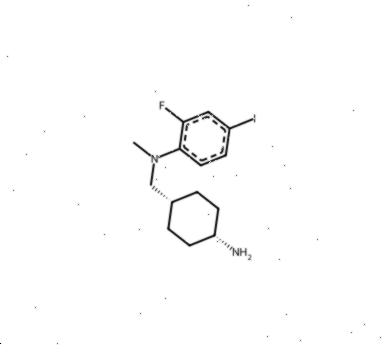 CN(C[C@H]1CC[C@@H](N)CC1)c1ccc(I)cc1F